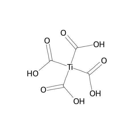 O=[C](O)[Ti]([C](=O)O)([C](=O)O)[C](=O)O